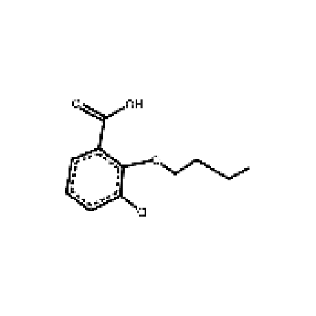 CCCCOc1c(Cl)cccc1C(=O)O